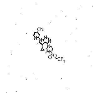 C[C@@H]1CN(c2ncnc3c2c(C2CC2)cn3-c2cc(C#N)ccn2)CCN1C(=O)OCC(F)(F)F